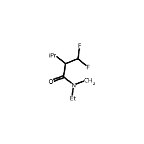 CCN(C)C(=O)C(C(C)C)C(F)F